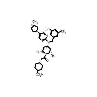 CC[C@@H]1C[C@H](N(Cc2cc(C(F)(F)F)cc(C(F)(F)F)c2)c2ncc(N3CC[C@H](C)C3)cn2)C[C@H](CC)N1C(=O)O[C@H]1CC[C@H](C(=O)O)CC1